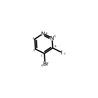 Brc1ccnnc1I